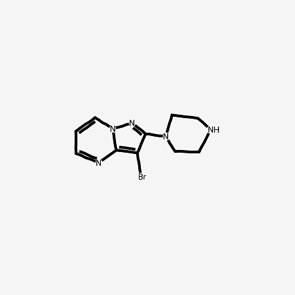 Brc1c(N2CCNCC2)nn2cccnc12